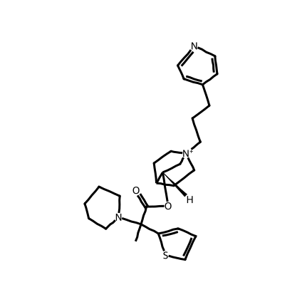 CC(C(=O)O[C@H]1C[N+]2(CCCc3ccncc3)CCC1CC2)(c1cccs1)N1CCCCC1